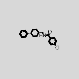 O=C(NC[C@H]1CC[C@@H](c2ccccc2)CC1)c1ccc(Cl)cc1